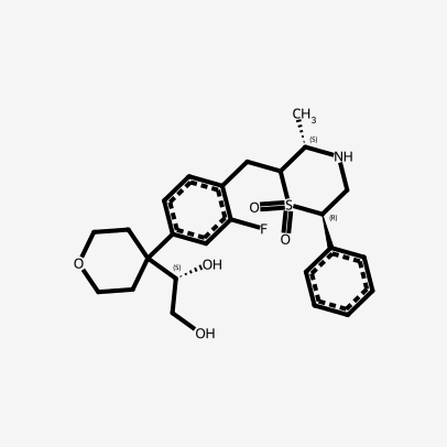 C[C@@H]1NC[C@@H](c2ccccc2)S(=O)(=O)C1Cc1ccc(C2([C@H](O)CO)CCOCC2)cc1F